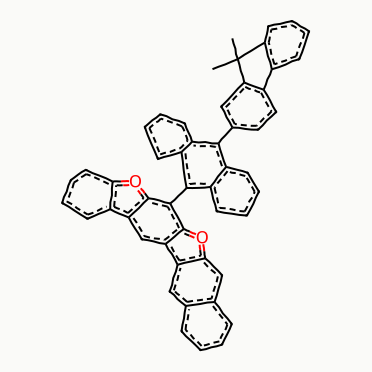 CC1(C)c2ccccc2-c2ccc(-c3c4ccccc4c(-c4c5oc6ccccc6c5cc5c4oc4cc6ccccc6cc45)c4ccccc34)cc21